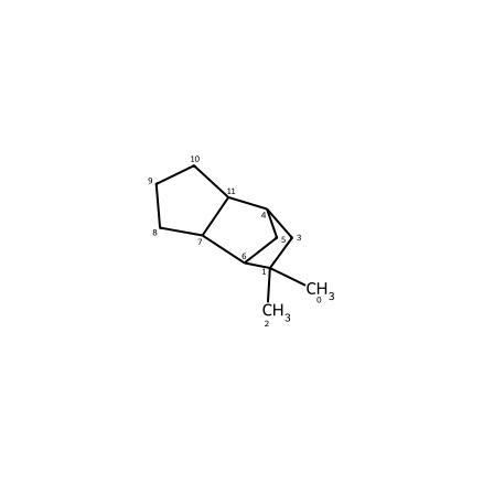 CC1(C)CC2CC1C1CCCC21